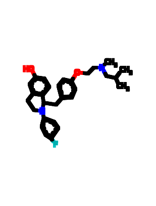 CC(C)CN(C)CCOc1ccc(CC2c3ccc(O)cc3CCN2c2ccc(F)cc2)cc1